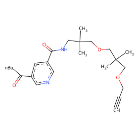 C#CCOCC(C)(C)COCC(C)(C)CNC(=O)c1cncc(C(=O)CCCC)c1